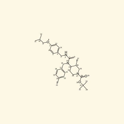 C=C(NCc1ccc(OCC(C)C)cc1)N(Cc1ccc(F)cc1)C1CCN(C(=O)OC(C)(C)C)CC1F